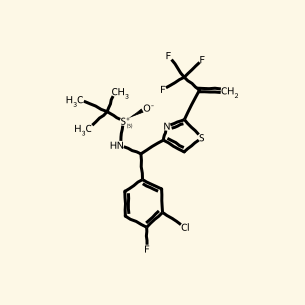 C=C(c1nc(C(N[S@+]([O-])C(C)(C)C)c2ccc(F)c(Cl)c2)cs1)C(F)(F)F